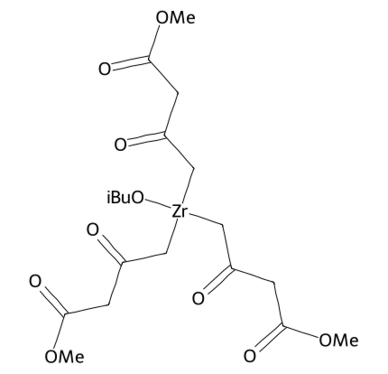 COC(=O)CC(=O)[CH2][Zr]([CH2]C(=O)CC(=O)OC)([CH2]C(=O)CC(=O)OC)[O]CC(C)C